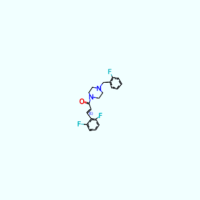 O=C(/C=C/c1c(F)cccc1F)N1CCN(Cc2ccccc2F)CC1